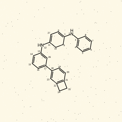 C1=C(Nc2ccccc2)CCC(Nc2cccc(-c3ccc4c(c3)CC4)c2)=C1